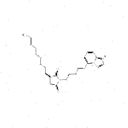 CCCCCCCCC=C1SC(=O)N(CCCCSc2cccc3nccn23)C1=O